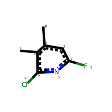 Cc1cc(F)nc(Cl)c1C